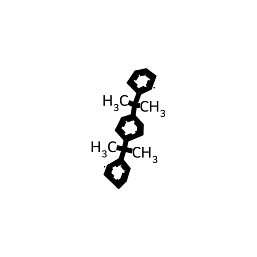 CC(C)(c1[c]cccc1)c1ccc(C(C)(C)c2[c]cccc2)cc1